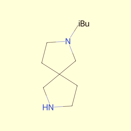 CCC(C)N1CCC2(CCNC2)C1